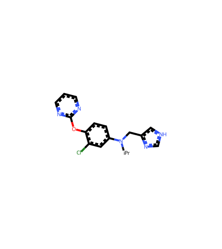 CC(C)N(Cc1c[nH]cn1)c1ccc(Oc2ncccn2)c(Cl)c1